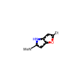 CCc1cc2[nH]c(NC)cc2o1